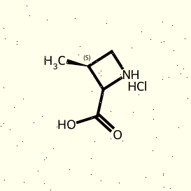 C[C@H]1CNC1C(=O)O.Cl